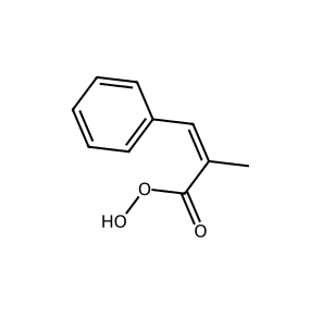 CC(=Cc1ccccc1)C(=O)OO